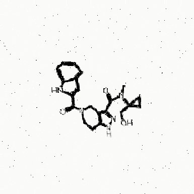 CN(C(=O)c1n[nH]c2c1CN(C(=O)c1cc3ccccc3[nH]1)CC2)C1(CO)CC1